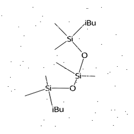 CCC(C)[Si](C)(C)O[Si](C)(C)O[Si](C)(C)C(C)CC